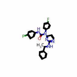 C[C@H](Nc1nccc(N(C(=O)Nc2ccc(F)cc2)c2ccc(F)cc2)n1)c1ccccc1